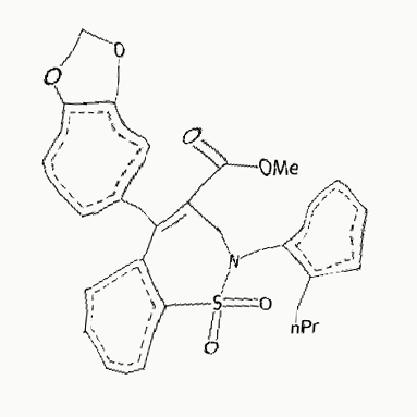 CCCc1ccccc1N1C(C(=O)OC)=C(c2ccc3c(c2)OCO3)c2ccccc2S1(=O)=O